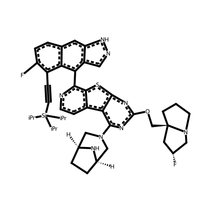 CC(C)[Si](C#Cc1c(F)ccc2cc3[nH]ncc3c(-c3nccc4c3sc3nc(OC[C@@]56CCCN5C[C@H](F)C6)nc(N5C[C@H]6CC[C@@H](C5)N6)c34)c12)(C(C)C)C(C)C